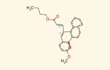 CCCCOC(=O)/C=C/C(=C/c1ccc(OC)cc1)c1c(C=O)ccc2ccccc12